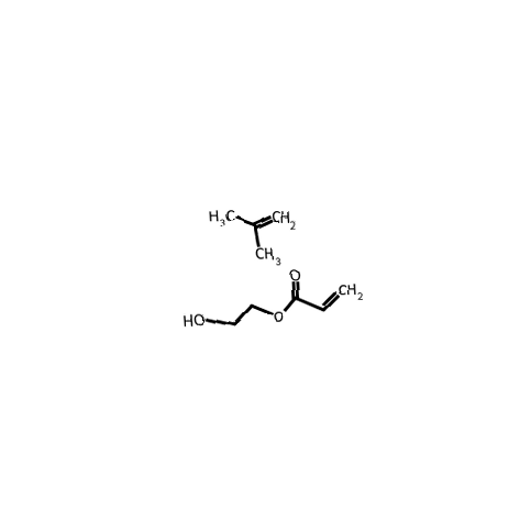 C=C(C)C.C=CC(=O)OCCO